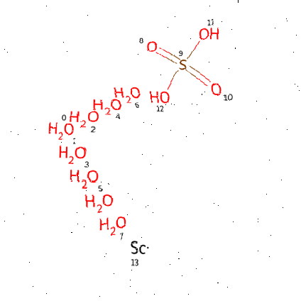 O.O.O.O.O.O.O.O.O=S(=O)(O)O.[Sc]